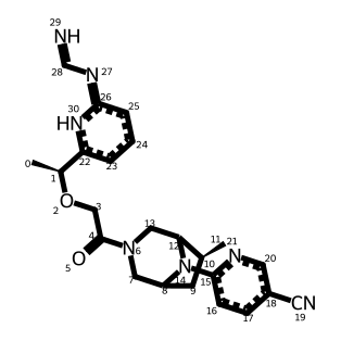 C[C@H](OCC(=O)N1CC2C[C@H](C)C(C1)N2c1ccc(C#N)cn1)c1ccc/c(=N/C=N)[nH]1